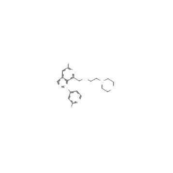 Cc1cc(-n2ncc3cc(Cl)nc(COCCN4CCOCC4)c32)ccn1